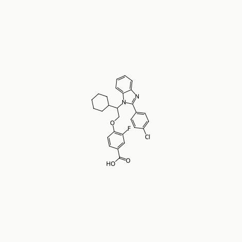 O=C(O)c1ccc(OCC(C2CCCCC2)n2c(-c3ccc(Cl)cc3)nc3ccccc32)c(F)c1